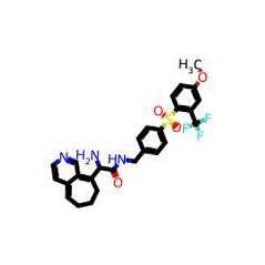 COc1ccc(S(=O)(=O)c2ccc(CNC(=O)C(N)C3=c4cnccc4=CCCC3)cc2)c(C(F)(F)F)c1